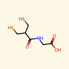 O=C(O)CNC(=O)C(CS)CS